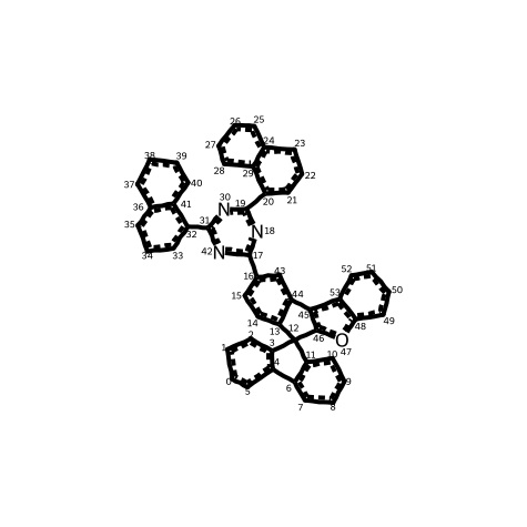 c1ccc2c(c1)-c1ccccc1C21c2ccc(-c3nc(-c4cccc5ccccc45)nc(-c4cccc5ccccc45)n3)cc2-c2c1oc1ccccc21